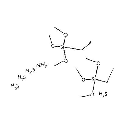 CC[Si](OC)(OC)OC.CC[Si](OC)(OC)OC.N.S.S.S.S